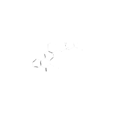 CCc1cc2c3ccncc3c(=O)n(C)c2cc1OC[C@@H](N)CC(C)C